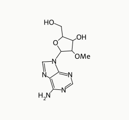 COC1C(O)C(CO)OC1n1cnc2c(N)ncnc21